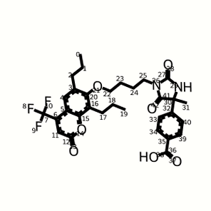 CCCc1cc2c(C(F)(F)F)cc(=O)oc2c(CCC)c1OCCCCN1C(=O)NC(C)(c2ccc(C(=O)O)cc2)C1=O